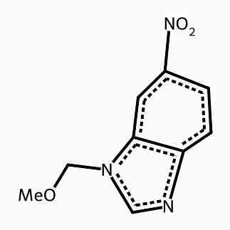 COCn1cnc2ccc([N+](=O)[O-])cc21